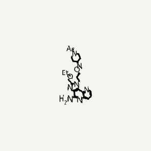 CCOCc1nc2c(N)nc3cccnc3c2n1CCCON=C1CCN(C(C)=O)CC1